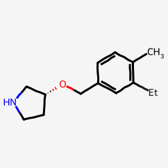 CCc1cc(CO[C@@H]2CCNC2)ccc1C